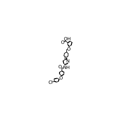 O=C(O)c1cccc(OCC2CCN(c3ccc(NC(=O)c4ccc(Oc5ccc(Cl)cc5)cc4)cn3)CC2)c1